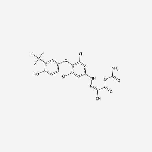 CC(C)(F)c1cc(Oc2c(Cl)cc(NN=C(C#N)C(=O)OC(N)=O)cc2Cl)ccc1O